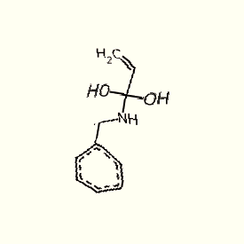 C=CC(O)(O)N[CH]c1ccccc1